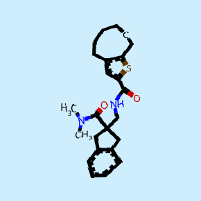 CN(C)C(=O)C1(CNC(=O)c2cc3c(s2)CCCCCC3)Cc2ccccc2C1